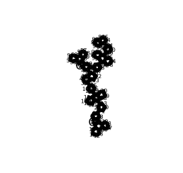 c1cc(-c2ccc3oc4c5ccccc5c5ccccc5c4c3c2)cc(-c2c3ccccc3c(-c3ccc(-c4cccc5c(-c6cc7oc8c9ccccc9c9ccccc9c8c7cc6-c6cccc(-c7c8ccccc8c(-c8cccc(-c9cccc%10ccccc9%10)c8)c8ccccc78)c6)cccc45)cc3)c3ccccc23)c1